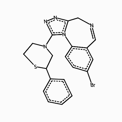 Brc1ccc2c(c1)C=NCc1nnc(N3CCSC(c4ccccc4)C3)n1-2